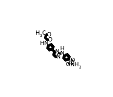 CC(=O)CC(=O)Nc1ccc(-c2ccnc(Nc3ccc(S(N)(=O)=O)cc3)n2)cc1